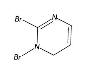 BrC1=NC=CCN1Br